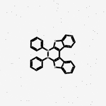 c1ccc(B2c3sc4ccccc4c3-c3c(sc4ccccc34)N2c2ccccc2)cc1